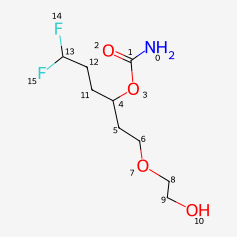 NC(=O)OC(CCOCCO)CCC(F)F